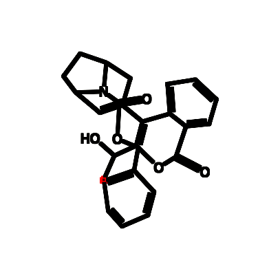 CC(O)c1oc(=O)c2ccccc2c1C1=CC2CCC(C1)N2C(=O)OCc1ccccc1